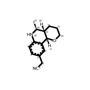 N#CCc1ccc2c(c1)[C@H]1OCCC[C@H]1[C@H](I)N2